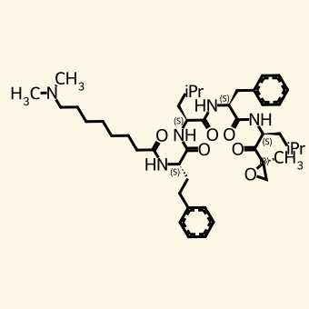 CC(C)C[C@H](NC(=O)[C@H](CCc1ccccc1)NC(=O)CCCCCCCN(C)C)C(=O)N[C@@H](Cc1ccccc1)C(=O)N[C@@H](CC(C)C)C(=O)[C@@]1(C)CO1